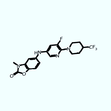 Cn1c(=O)oc2ccc(Nc3cnc(N4CCC(C(F)(F)F)CC4)c(F)c3)cc21